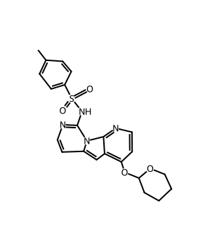 Cc1ccc(S(=O)(=O)Nc2nccc3cc4c(OC5CCCCO5)ccnc4n23)cc1